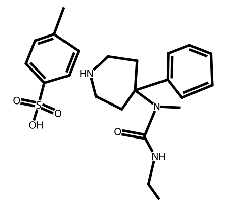 CCNC(=O)N(C)C1(c2ccccc2)CCNCC1.Cc1ccc(S(=O)(=O)O)cc1